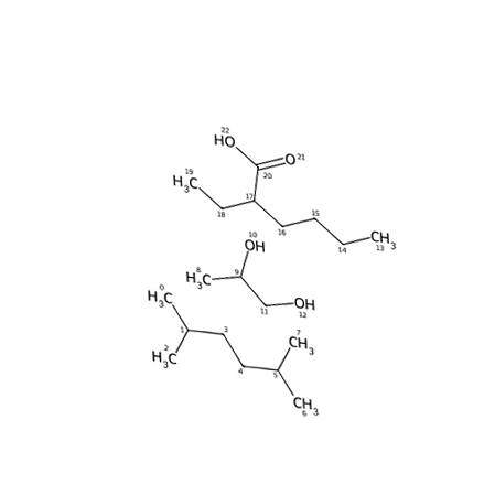 CC(C)CCC(C)C.CC(O)CO.CCCCC(CC)C(=O)O